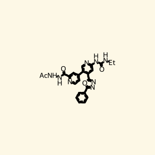 CCNC(=O)Nc1cc(-c2nnc(-c3ccccc3)o2)c(-c2ccnc(C(=O)NNC(C)=O)c2)cn1